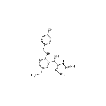 CCc1cnc(NCc2ccc(O)cc2)c(C(=N)C(=NN)NN=N)c1